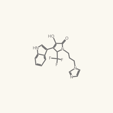 O=C1C(O)=C(c2c[nH]c3ccccc23)C(C(F)(F)F)N1CCCn1ccnc1